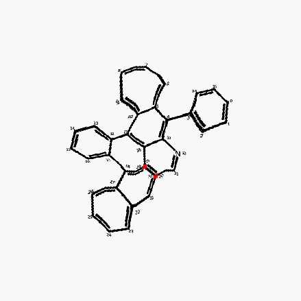 c1ccc(-c2c3ccccc3c(-c3ccccc3-c3cccc4ccccc34)c3cccnc23)cc1